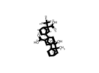 CC1(C(=O)O)CC2C=CC1(C13C=CC(C45C=CC(C4)C(C(=O)O)(C(F)(F)F)C5)(C1)C(C(=O)O)C3)C2